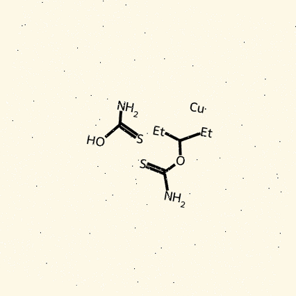 CCC(CC)OC(N)=S.NC(O)=S.[Cu]